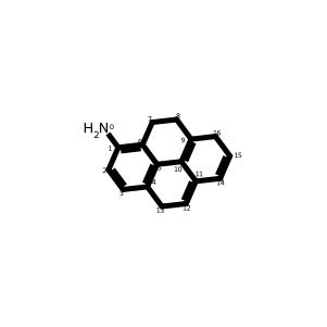 Nc1ccc2c3c1CCC1=C3C(=CC2)C=CC1